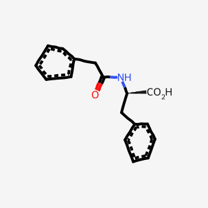 O=C(Cc1ccccc1)N[C@H](Cc1ccccc1)C(=O)O